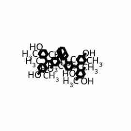 Cc1cc(C(c2cc(C)c(O)cc2C)c2cc(C34CC5CC(C3)CC(c3cc(C(c6cc(C)c(O)cc6C)c6cc(C)c(O)cc6C)c(O)cc3C)(C5)C4)c(C)cc2O)c(C)cc1O